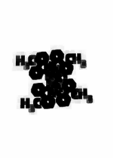 Cc1ccccc1-c1ccccc1-c1nc(C(=O)c2nc(-c3ccccc3-c3ccccc3C)nc(-c3ccccc3-c3ccccc3C)n2)nc(-c2ccccc2-c2ccccc2C)n1